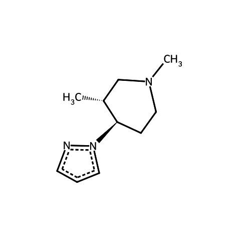 C[C@@H]1CN(C)CC[C@H]1n1cccn1